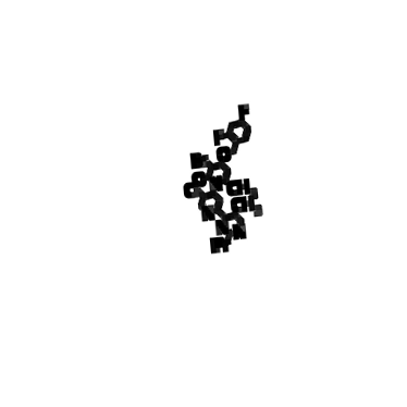 Cc1cnc(C(C)C)nc1-c1cc(-n2c(C)cc(OCc3ccc(F)cc3F)c(Br)c2=O)c(Cl)cn1